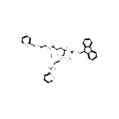 O=C(CCC(NC(=O)OCC1c2ccccc2-c2ccccc21)C(=O)NCCSSc1ccccn1)NCCSSc1ccccn1